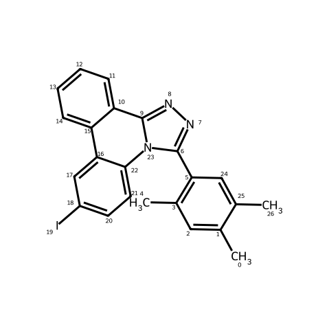 Cc1cc(C)c(-c2nnc3c4ccccc4c4cc(I)ccc4n23)cc1C